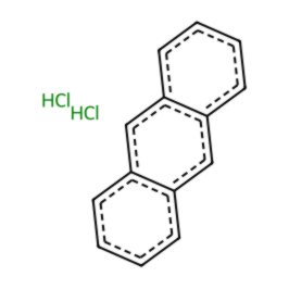 Cl.Cl.c1ccc2cc3ccccc3cc2c1